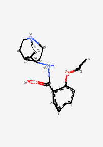 CCOc1ccccc1C(=O)NC1CN2CCC1CC2